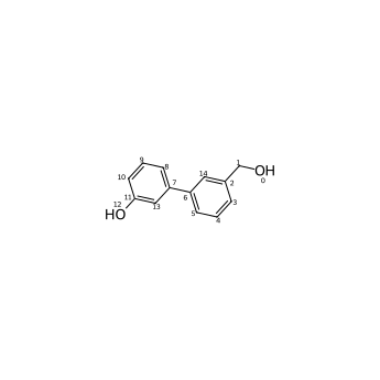 OCc1cccc(-c2cccc(O)c2)c1